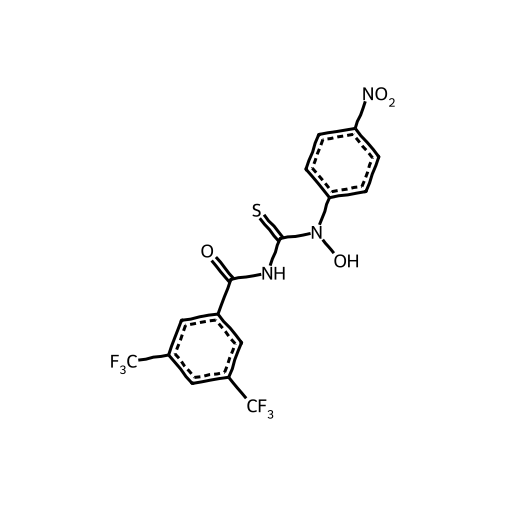 O=C(NC(=S)N(O)c1ccc([N+](=O)[O-])cc1)c1cc(C(F)(F)F)cc(C(F)(F)F)c1